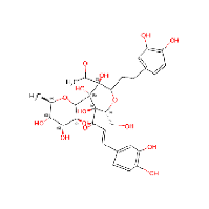 CC(=O)[C@]1(O)C(CCc2ccc(O)c(O)c2)O[C@H](CO)[C@](O)(C(=O)C=Cc2ccc(O)c(O)c2)[C@@]1(O)C1O[C@H](C)[C@@H](O)[C@H](O)[C@@H]1O